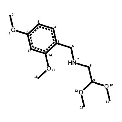 COc1ccc(CNCC(OC)OC)c(OC)c1